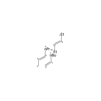 C=CCCCC.CC=CCCC.CCC=CCC